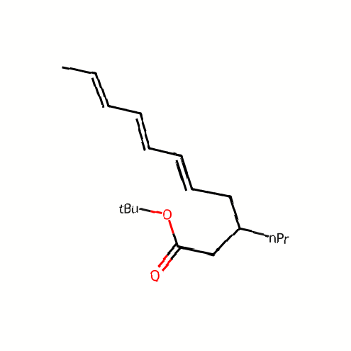 CC=CC=CC=CCC(CCC)CC(=O)OC(C)(C)C